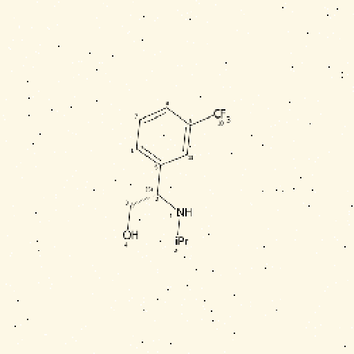 CC(C)N[C@H](CO)c1cccc(C(F)(F)F)c1